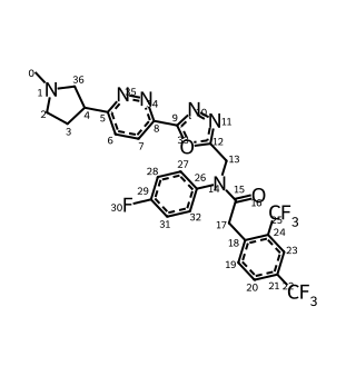 CN1CCC(c2ccc(-c3nnc(CN(C(=O)Cc4ccc(C(F)(F)F)cc4C(F)(F)F)c4ccc(F)cc4)o3)nn2)C1